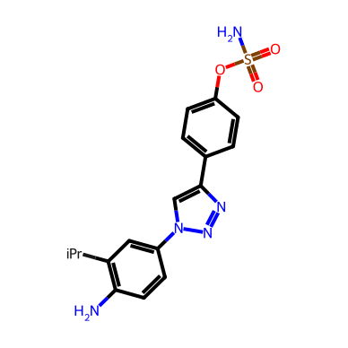 CC(C)c1cc(-n2cc(-c3ccc(OS(N)(=O)=O)cc3)nn2)ccc1N